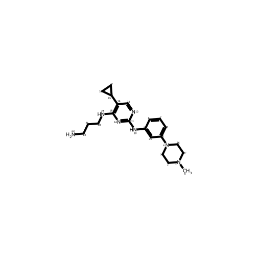 CN1CCN(c2cccc(Nc3ncc(C4CC4)c(NCCCN)n3)c2)CC1